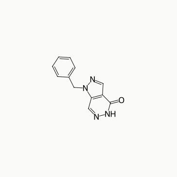 O=c1[nH]ncc2c1cnn2Cc1ccccc1